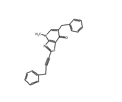 Cn1cc(Cc2ccccc2)c(=O)c2sc(C#CCc3ccccc3)nc21